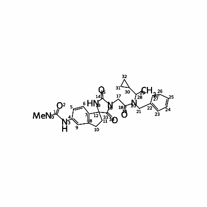 CNC(=O)Nc1ccc2c(c1)CCC21NC(=O)N(CC(=O)N(Cc2ccccc2)C(C)C2CC2)C1=O